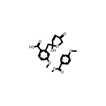 COC(=O)c1ccc(OC)cc1.COc1ccc(C(=O)O)c(CC2(O)C=CC(=O)CO2)c1